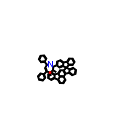 CC1C(c2ccccc2)=CC(c2ccccc2)=NC(c2ccc3c(c2)C2(c4ccccc4-3)c3ccccc3-c3c2cc2c4c(cccc34)-c3ccccc3-2)C1C